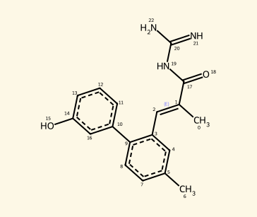 C/C(=C\c1cc(C)ccc1-c1cccc(O)c1)C(=O)NC(=N)N